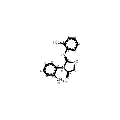 Cc1ccccc1N=C1[Se]CC(=O)N1c1ccccc1C